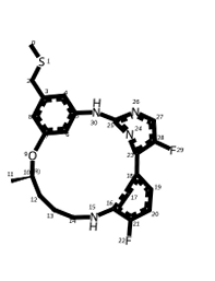 CSCc1cc2cc(c1)O[C@H](C)CCCNc1cc(ccc1F)-c1nc(ncc1F)N2